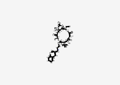 CC[C@H]1OC(=O)[C@H](C)C(=O)[C@H](C)[C@@H](C(C)(C)C)[C@](C)(OC/C=C/c2cnc3ccccc3c2)C[C@@H](C)C(=O)[C@H](C)[C@H]2NC(=O)O[C@@]21C